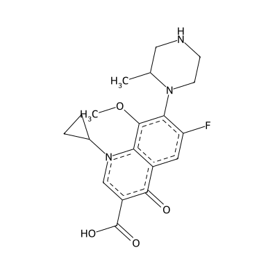 COc1c(N2CCNCC2C)c(F)cc2c(=O)c(C(=O)O)cn(C3CC3)c12